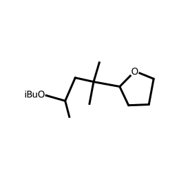 CC(C)COC(C)CC(C)(C)C1CCCO1